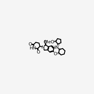 CO[C@H]1CCC[C@@H]1N[C@H]1CCCC[C@@H]1Oc1ccc2c(c1)CN(C1CCC(=O)NC1=O)C2=O